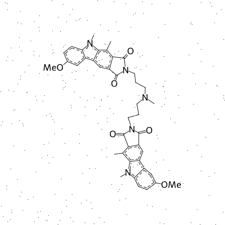 COc1ccc2c(c1)c1cc3c(c(C)c1n2C)C(=O)N(CCCN(C)CCCN1C(=O)c2cc4c5cc(OC)ccc5n(C)c4c(C)c2C1=O)C3=O